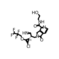 N=CC(CN1Cc2c(ccnc2C(=O)NCCO)C1=O)[C@@H]1C(Cl)=C1OCC(F)(F)C(F)F